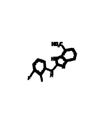 Cc1c(F)cccc1Nc1nc2cccc(C(=O)O)c2[nH]1